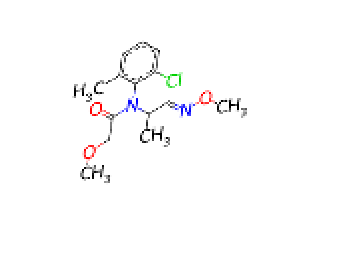 COCC(=O)N(c1c(C)cccc1Cl)C(C)C=NOC